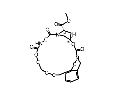 COC(=O)[C@@H]1C[C@@H]2CN1C(=O)CNC(=O)OCCCCCc1cccc3c1CN(C3)C(=O)O2